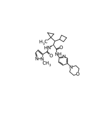 Cn1nccc1C(=O)N[C@H](C(=O)Nc1ccc(N2CCOCC2)cn1)C(C1CCC1)C1(C)CC1